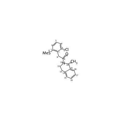 CSc1cccc(Cl)c1CC(=O)N1CCc2ccccc2C1C